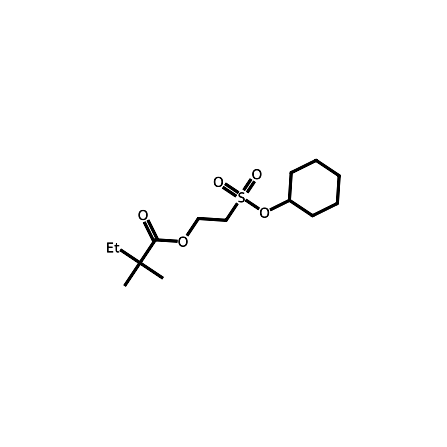 CCC(C)(C)C(=O)OCCS(=O)(=O)OC1CCCCC1